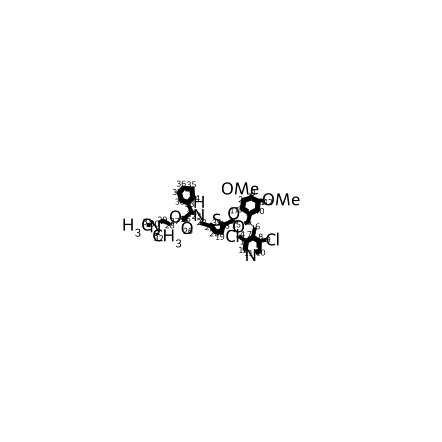 COc1ccc([C@H](Cc2c(Cl)cncc2Cl)OC(=O)c2ccc(CNC(C(=O)OCCN(C)C)c3ccccc3)s2)cc1OC